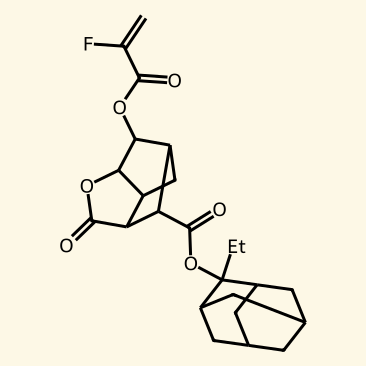 C=C(F)C(=O)OC1C2CC3C1OC(=O)C3C2C(=O)OC1(CC)C2CC3CC(C2)CC1C3